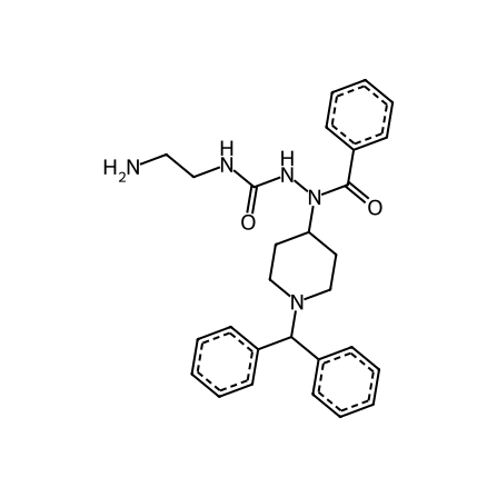 NCCNC(=O)NN(C(=O)c1ccccc1)C1CCN(C(c2ccccc2)c2ccccc2)CC1